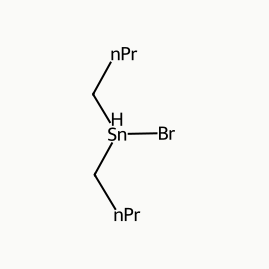 CCC[CH2][SnH]([Br])[CH2]CCC